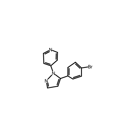 Brc1ccc(-c2ccnn2-c2ccncc2)cc1